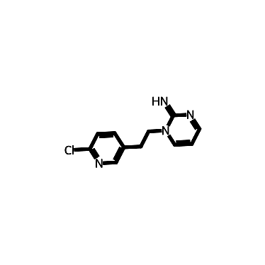 N=c1ncccn1CCc1ccc(Cl)nc1